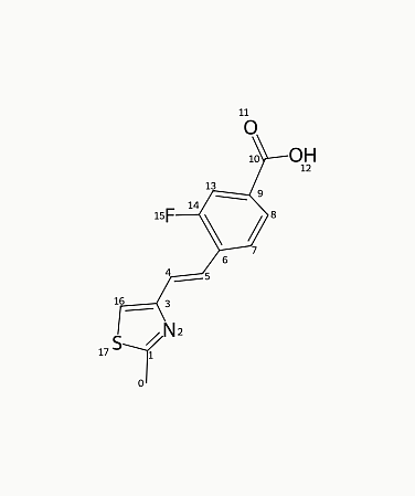 Cc1nc(C=Cc2ccc(C(=O)O)cc2F)cs1